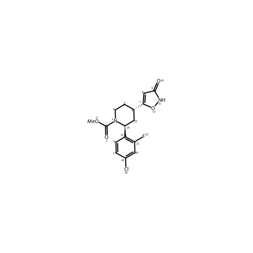 COC(=O)N1CC[C@H](c2cc(=O)[nH]o2)C[C@H]1c1ccc(Cl)cc1F